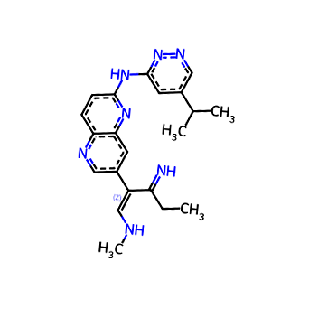 CCC(=N)/C(=C\NC)c1cnc2ccc(Nc3cc(C(C)C)cnn3)nc2c1